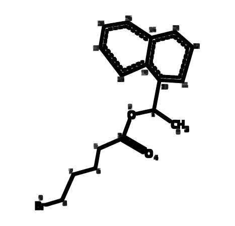 CC(OC(=O)CCCCBr)c1cccc2ccccc12